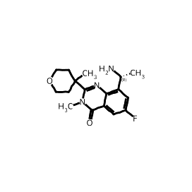 C[C@@H](N)c1cc(F)cc2c(=O)n(C)c(C3(C)CCOCC3)nc12